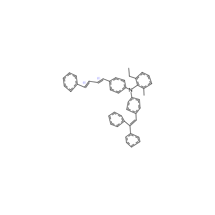 CCc1cccc(C)c1N(c1ccc(C=C(c2ccccc2)c2ccccc2)cc1)c1ccc(/C=C/C=C/c2ccccc2)cc1